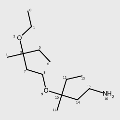 CCOC(C)(CC)CCOC(C)(CC)CCN